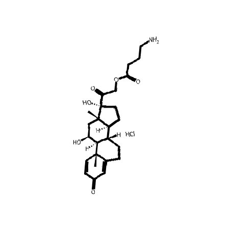 C[C@]12C=CC(=O)C=C1CC[C@@H]1[C@@H]2[C@@H](O)C[C@@]2(C)[C@H]1CC[C@]2(O)C(=O)COC(=O)CCCN.Cl